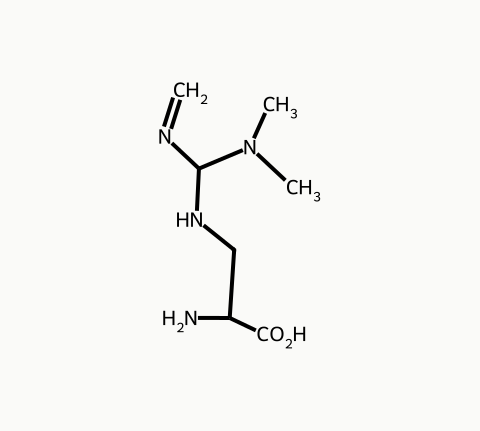 C=NC(NCC(N)C(=O)O)N(C)C